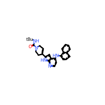 CC(C)(C)NC(=O)N1CC=C(c2cc3c(Nc4cccc5ccccc45)ccnc3[nH]2)CC1